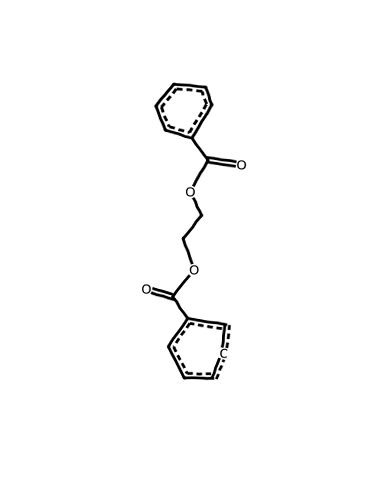 O=C(OCCOC(=O)c1ccccc1)c1ccccc1